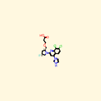 O=C(O)CCOC[C@@H]1C[C@@H](F)CN1c1cc(-[n+]2cc[nH]c2)c2ccc(Cl)c(Cl)c2n1